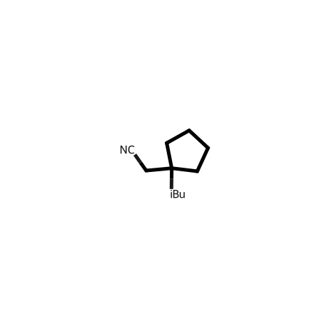 CCC(C)C1(CC#N)CCCC1